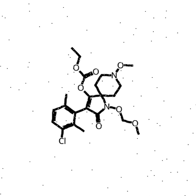 CCOC(=O)OC1=C(c2c(C)ccc(Cl)c2C)C(=O)N(OCOC)C12CCN(OC)CC2